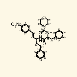 O=C(N[C@H](/C=C/c1ccc([N+](=O)[O-])cc1)CCc1ccccc1)C(Cc1ccccc1)NC(=O)N1CCOCC1